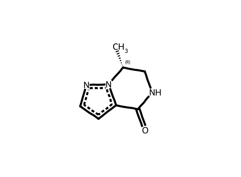 C[C@@H]1CNC(=O)c2ccnn21